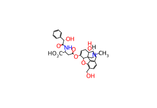 CN1CCC23c4c5ccc(CO)c4OC2C(OC(=O)C[C@H](NC(=O)[C@@H](O)c2ccccc2)C(=O)O)=CC[C@@]3(O)[C@H]1C5